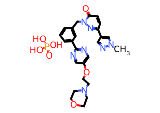 Cn1cc(-c2ccc(=O)n(Cc3cccc(-c4ncc(OCCN5CCOCC5)cn4)c3)n2)cn1.O=P(O)(O)O